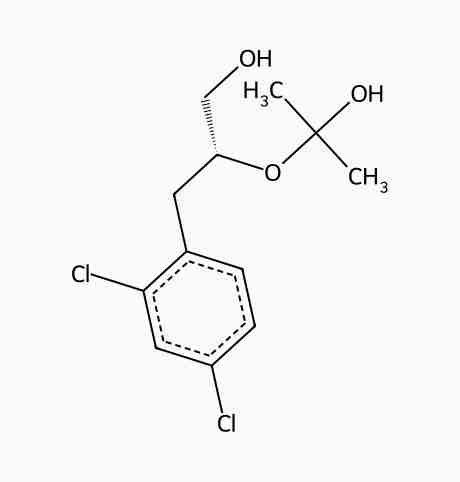 CC(C)(O)O[C@@H](CO)Cc1ccc(Cl)cc1Cl